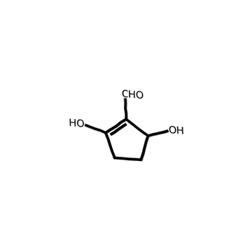 O=CC1=C(O)CCC1O